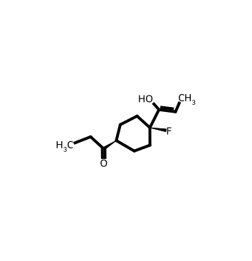 CC=C(O)[C@]1(F)CC[C@@H](C(=O)CC)CC1